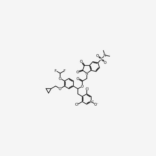 CN(C)S(=O)(=O)c1ccc2c(c1)C(=O)C(=O)N2CC(=O)OC(Cc1c(Cl)c[n+]([O-])cc1Cl)c1ccc(OC(F)F)c(OCC2CC2)c1